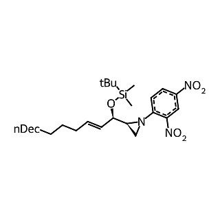 CCCCCCCCCCCCC/C=C/[C@@H](O[Si](C)(C)C(C)(C)C)[C@@H]1CN1c1ccc([N+](=O)[O-])cc1[N+](=O)[O-]